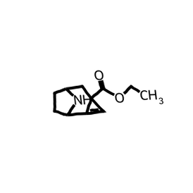 CCOC(=O)C12C=C1[C]1CCC(C2)N1